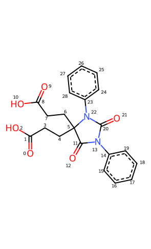 O=C(O)CCC1(CCC(=O)O)C(=O)N(c2ccccc2)C(=O)N1c1ccccc1